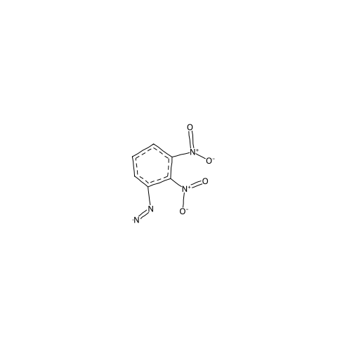 [N]=Nc1cccc([N+](=O)[O-])c1[N+](=O)[O-]